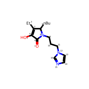 CCCCC1C(CC)=C(O)C(=O)N1CCCn1ccnc1